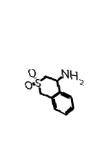 NC1CS(=O)(=O)Cc2ccccc21